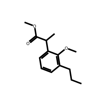 CCCc1cccc(C(C)C(=O)OC)c1OC